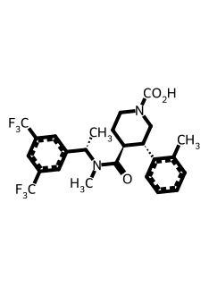 Cc1ccccc1[C@H]1CN(C(=O)O)CC[C@@H]1C(=O)N(C)[C@@H](C)c1cc(C(F)(F)F)cc(C(F)(F)F)c1